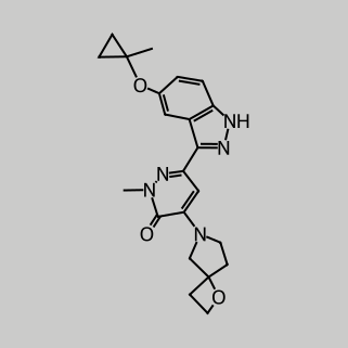 Cn1nc(-c2n[nH]c3ccc(OC4(C)CC4)cc23)cc(N2CCC3(CCO3)C2)c1=O